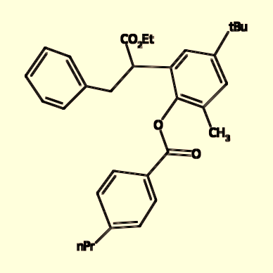 CCCc1ccc(C(=O)Oc2c(C)cc(C(C)(C)C)cc2C(Cc2ccccc2)C(=O)OCC)cc1